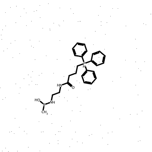 CB(O)NCCNC(=O)CCC[PH](c1ccccc1)(c1ccccc1)c1ccccc1